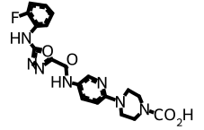 O=C(Nc1ccc(N2CCN(C(=O)O)CC2)nc1)c1nnc(Nc2ccccc2F)o1